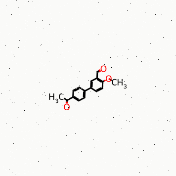 COc1ccc(-c2ccc(C(C)=O)cc2)cc1C=O